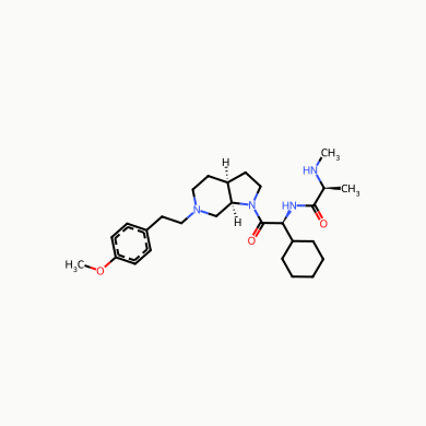 CN[C@@H](C)C(=O)N[C@H](C(=O)N1CC[C@@H]2CCN(CCc3ccc(OC)cc3)C[C@@H]21)C1CCCCC1